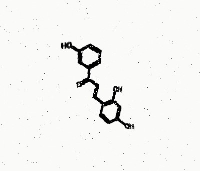 O=C(/C=C/c1ccc(O)cc1O)c1cccc(O)c1